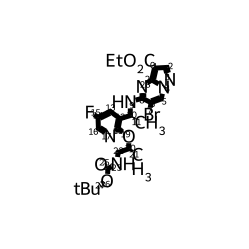 CCOC(=O)c1cnn2cc(Br)c(N[C@H](C)c3cc(F)cnc3O[C@@H](C)CNC(=O)OC(C)(C)C)nc12